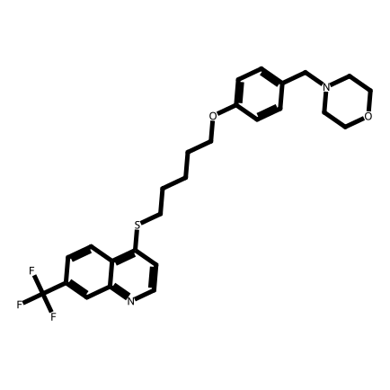 FC(F)(F)c1ccc2c(SCCCCCOc3ccc(CN4CCOCC4)cc3)ccnc2c1